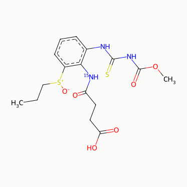 CCC[S+]([O-])c1cccc(NC(=S)NC(=O)OC)c1[15NH]C(=O)CCC(=O)O